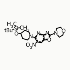 CC(C)(C)[Si](C)(C)OC1CCN(c2nc3nc(N4CCOCC4)oc3cc2[N+](=O)[O-])CC1